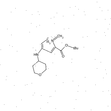 C=N/C(=C\C(=C/C)NC1CCOCC1)C(=O)OC(C)(C)C